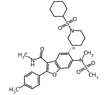 CNC(=O)c1c(-c2ccc(C)cc2)oc2cc(N(C)S(C)(=O)=O)c([C@H]3CCCN(S(=O)(=O)C4CCCCC4)C3)cc12